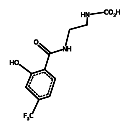 O=C(O)NCCNC(=O)c1ccc(C(F)(F)F)cc1O